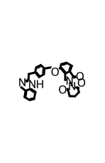 O=C1c2cccc(OCc3ccc(CC4=NCc5ccccc5N4)cc3)c2CN1N1C(=O)CCCC1=O